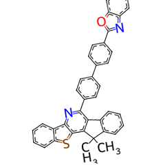 CC1(C)c2ccccc2-c2c(-c3ccc(-c4ccc(-c5nc6ccccc6o5)cc4)cc3)nc3c(sc4ccccc43)c21